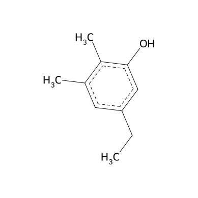 CCc1cc(C)c(C)c(O)c1